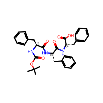 CC(C)(C)OC(=O)N[C@@H](Cc1ccccc1)C(=O)N[C@@H](Cc1ccccc1)C(=O)N[C@@H](Cc1ccccc1)C(=O)O